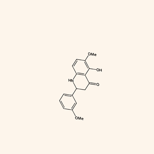 COc1cccc(C2CC(=O)c3c(ccc(OC)c3O)N2)c1